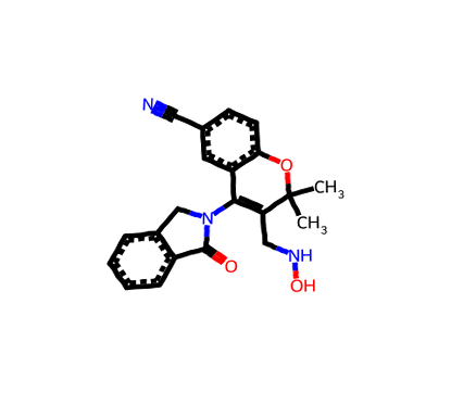 CC1(C)Oc2ccc(C#N)cc2C(N2Cc3ccccc3C2=O)=C1CNO